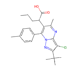 CCCC(C(=O)O)c1c(C)nc2c(Cl)c(C(C)(C)C)nn2c1-c1ccc(C)cc1